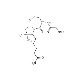 CNCC(=O)N[C@H]1CCSC2CC(C)(C)C(CCCCC(N)=O)N2C1=O